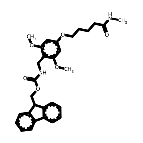 CNC(=O)CCCCOc1cc(OC)c(CNC(=O)OCC2c3ccccc3-c3ccccc32)c(OC)c1